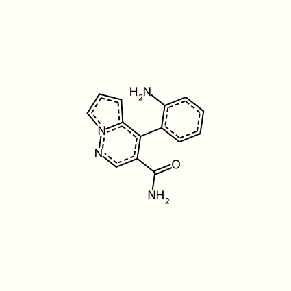 NC(=O)c1cnn2cccc2c1-c1ccccc1N